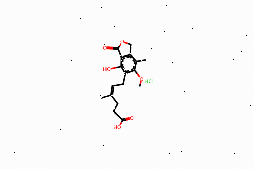 COc1c(C)c2c(c(O)c1CC=C(C)CCC(=O)O)C(=O)OC2.Cl